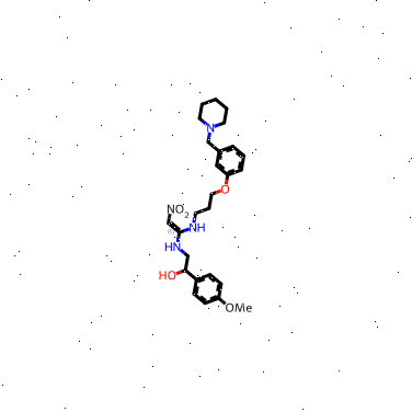 COc1ccc(C(O)CN/C(=C/[N+](=O)[O-])NCCCOc2cccc(CN3CCCCC3)c2)cc1